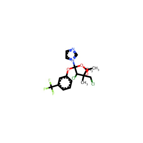 CC(=O)OC(Oc1cccc(C(F)(F)F)c1)(C(Cl)C(C)(C)CCl)n1ccnc1